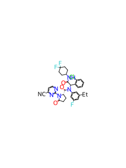 CCc1cc(F)cc(N(C(=O)[C@@H]2CCC(=O)N2c2nccc(C#N)n2)C(C(=O)NC2CCC(F)(F)CC2)c2ccccc2Cl)c1